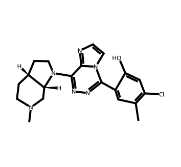 Cc1cc(-c2nnc(N3CC[C@H]4CCN(C)C[C@H]43)c3nccn23)c(O)cc1Cl